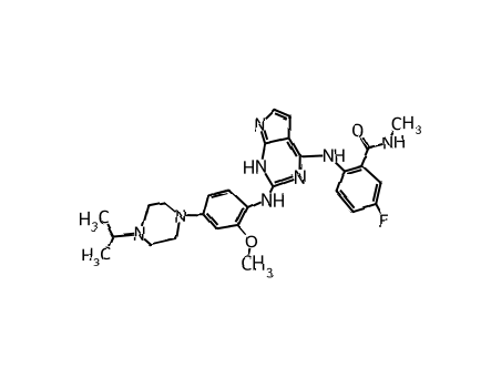 CNC(=O)c1cc(F)ccc1Nc1nc(Nc2ccc(N3CCN(C(C)C)CC3)cc2OC)[nH]c2nccc1-2